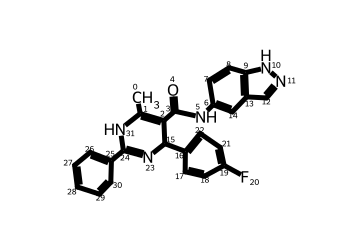 CC1=C(C(=O)Nc2ccc3[nH]ncc3c2)C(c2ccc(F)cc2)N=C(c2ccccc2)N1